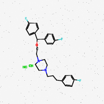 Cl.Cl.Fc1ccc(CCCN2CCN(CCOC(c3ccc(F)cc3)c3ccc(F)cc3)CC2)cc1